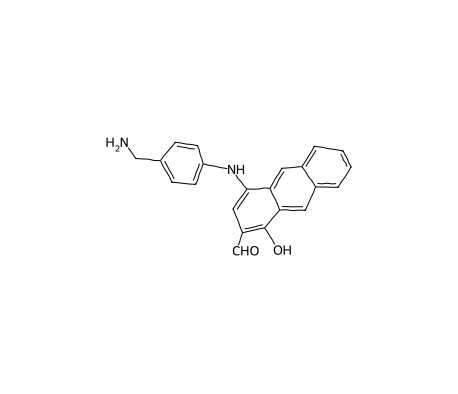 NCc1ccc(Nc2cc(C=O)c(O)c3cc4ccccc4cc23)cc1